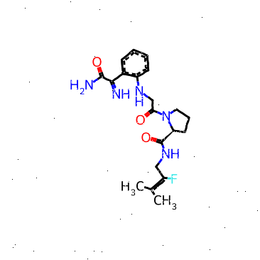 CC(C)=C(F)CNC(=O)[C@@H]1CCCN1C(=O)CNc1ccccc1C(=N)C(N)=O